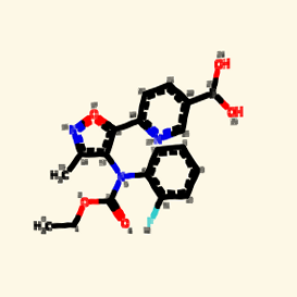 CCOC(=O)N(c1ccccc1F)c1c(C)noc1-c1ccc(B(O)O)cn1